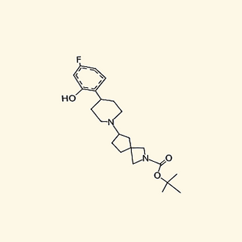 CC(C)(C)OC(=O)N1CC2(CCC(N3CCC(c4ccc(F)cc4O)CC3)C2)C1